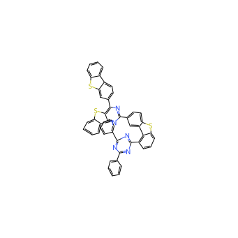 c1ccc(-c2nc(-c3ccccc3)nc(-c3cccc4sc5ccc(-c6nc(-c7ccc8c(c7)sc7ccccc78)c7sc8ccccc8c7n6)cc5c34)n2)cc1